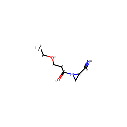 CCOCCC(=O)N1CC1C#N